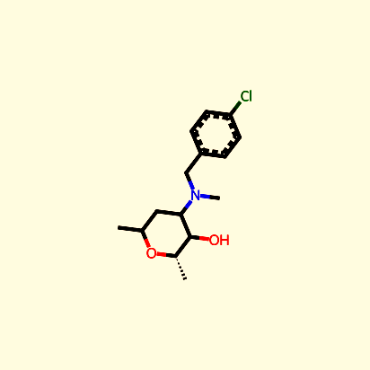 CC1CC(N(C)Cc2ccc(Cl)cc2)C(O)[C@H](C)O1